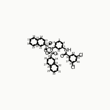 O=C(Nc1cccc(N(S(=O)(=O)c2ccc3ccccc3c2)S(=O)(=O)c2ccc3ccccc3c2)c1)c1cc(Cl)cc(Cl)c1